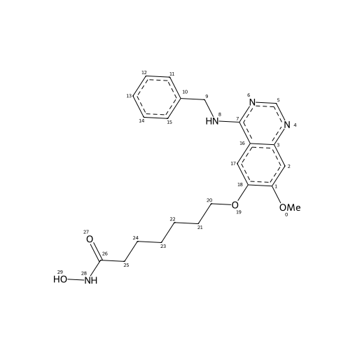 COc1cc2ncnc(NCc3ccccc3)c2cc1OCCCCCCC(=O)NO